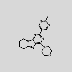 Cc1ncc(-c2nc(N3CCOCC3)c3nc4n(c3n2)CCCC4)cn1